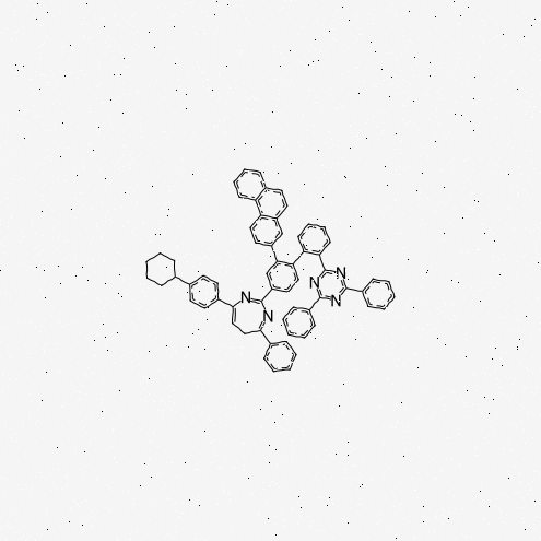 C1=C(c2ccc(C3CCCCC3)cc2)N=C(c2ccc(-c3ccccc3-c3nc(-c4ccccc4)nc(-c4ccccc4)n3)c(-c3ccc4c(ccc5ccccc54)c3)c2)N=C(c2ccccc2)C1